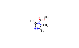 CCC1NC[C@@H](C)N(C(=O)OC(C)(C)C)[C@@H]1C